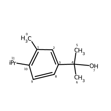 Cc1cc(C(C)(C)O)ccc1C(C)C